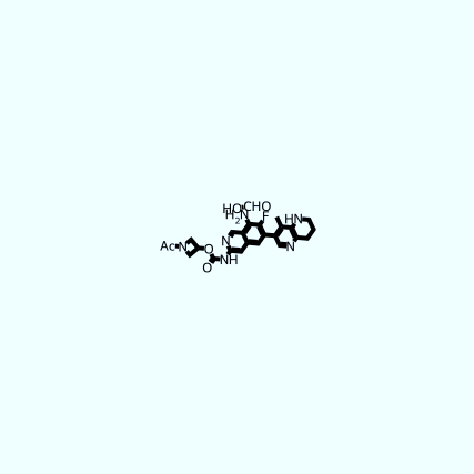 CC(=O)N1CC(OC(=O)Nc2cc3cc(-c4cnc5c(c4C)NCCC5)c(F)c(N)c3cn2)C1.O=CO